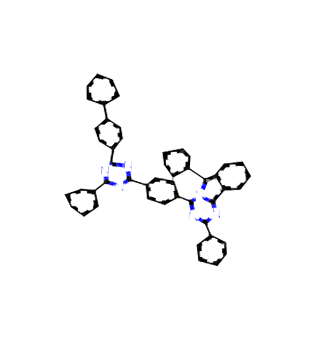 c1ccc(-c2ccc(-c3nc(-c4ccccc4)nc(-c4ccc(-c5nc(-c6ccccc6)nc6c7ccccc7c(-c7ccccc7)n56)cc4)n3)cc2)cc1